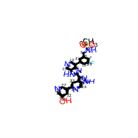 CS(=O)(=O)NCc1cc(F)cc(-c2cncc3[nH]c(-c4n[nH]c5cnc(-c6cncc(O)c6)cc45)nc23)c1